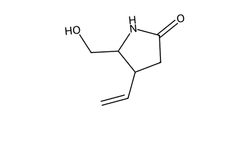 C=CC1CC(=O)NC1CO